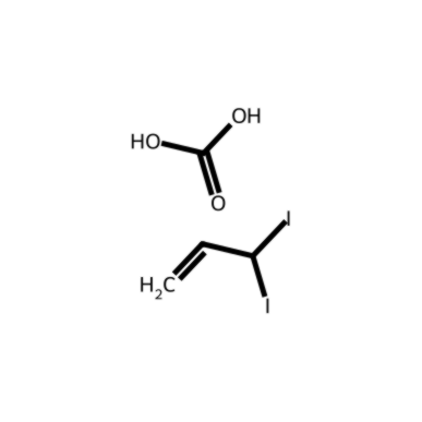 C=CC(I)I.O=C(O)O